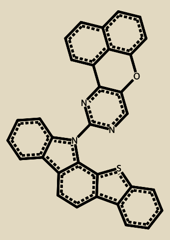 c1cc2c3c(cccc3c1)-c1nc(-n3c4ccccc4c4ccc5c6ccccc6sc5c43)ncc1O2